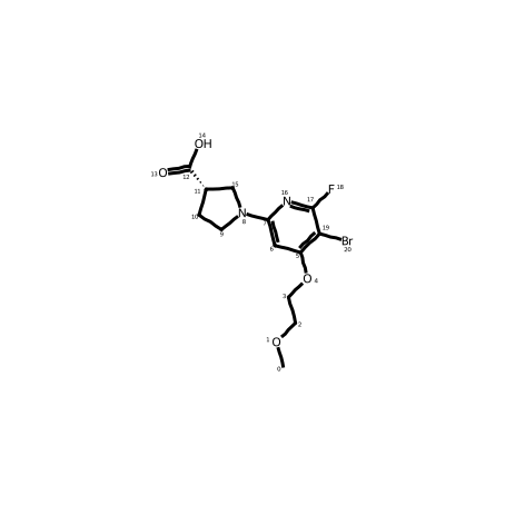 COCCOc1cc(N2CC[C@H](C(=O)O)C2)nc(F)c1Br